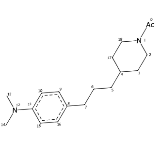 CC(=O)N1CCC(CCCc2ccc(N(C)C)cc2)CC1